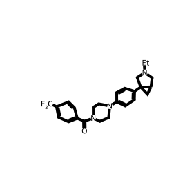 CCN1CC2CC2(c2ccc(N3CCN(C(=O)c4ccc(C(F)(F)F)cc4)CC3)cc2)C1